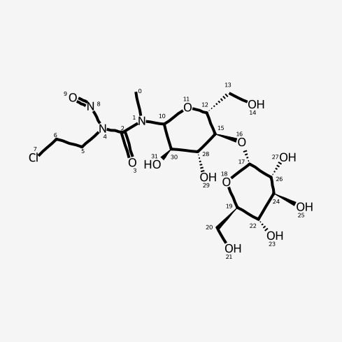 CN(C(=O)N(CCCl)N=O)C1O[C@H](CO)[C@@H](O[C@H]2O[C@H](CO)[C@@H](O)[C@H](O)[C@H]2O)[C@H](O)[C@H]1O